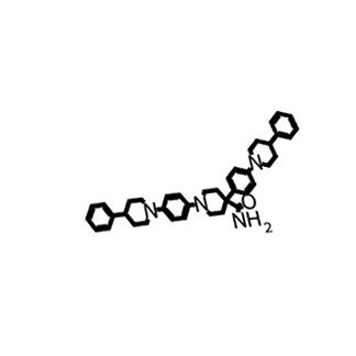 NC(=O)C1(c2ccc(N3CCC(c4ccccc4)CC3)cc2)CCN(c2ccc(N3CCC(c4ccccc4)CC3)cc2)CC1